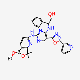 CCOB1OC(C)(C)c2nc(Nc3ncc(-c4nnc(-c5cccnc5)o4)c(N[C@H](CO)c4ccccc4)n3)ccc21